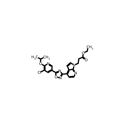 CCOC(=O)CCn1ccc2c(-c3noc(-c4cnc(OC(C)C)c(Cl)c4)n3)ccnc21